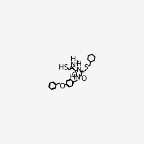 N[C@@H](CS)C(=O)N[C@@H](CSCC1CCCCC1)C(=O)NCc1ccc(OCc2ccccc2)cc1